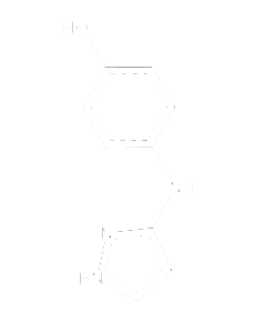 Oc1ccc(Nc2cc[nH]n2)cc1